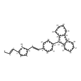 C/C=C/c1ccc(/C=C/c2ccc(-n3c4ccccc4c4ccccc43)cc2)s1